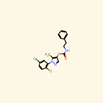 O=C(NCCc1ccccc1)Oc1cnn(-c2cc(Cl)ccc2Cl)c1C(F)(F)F